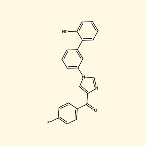 N#Cc1ccccc1-c1cccc(-n2cnc(C(=O)c3ccc(F)cc3)c2)c1